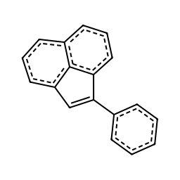 C1=C(c2ccccc2)c2cccc3cccc1c23